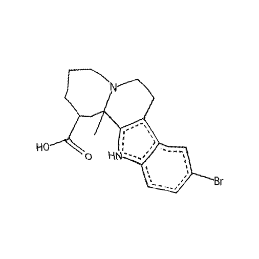 CC12c3[nH]c4ccc(Br)cc4c3CCN1CCCC2C(=O)O